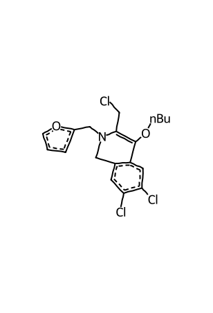 CCCCOC1=C(CCl)N(Cc2ccco2)Cc2cc(Cl)c(Cl)cc21